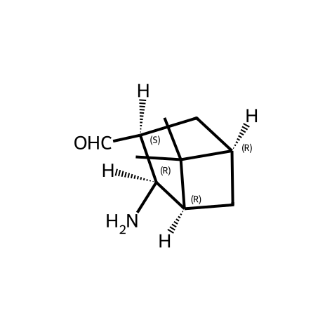 CC1(C)[C@H]2C[C@H](C=O)[C@H](N)[C@@H]1C2